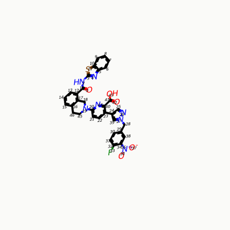 O=C(Nc1nc2ccccc2s1)c1cccc2c1CN(c1ccc(-c3cnn(Cc4ccc(F)c([N+](=O)[O-])c4)c3)c(C(=O)O)n1)CC2